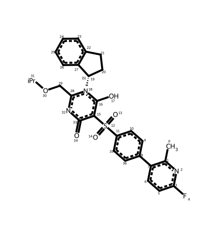 Cc1nc(F)ccc1-c1ccc(S(=O)(=O)c2c(O)n([C@H]3CCc4ccccc43)c(COC(C)C)nc2=O)cc1